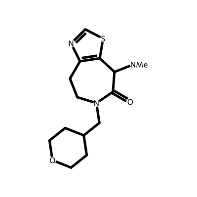 CNC1C(=O)N(CC2CCOCC2)CCc2ncsc21